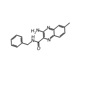 Cc1ccc2nc(C(=O)NCc3ccccc3)c(N)nc2c1